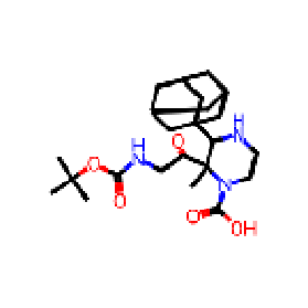 CC(C)(C)OC(=O)NCC(=O)C1(C)C(C23CC4CC(CC(C4)C2)C3)NCCN1C(=O)O